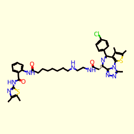 Cc1nc(NC(=O)c2ccccc2NC(=O)CCCCCCCNCCNC(=O)C[C@@H]2N=C(c3ccc(Cl)cc3)c3c(sc(C)c3C)-n3c(C)nnc32)sc1C